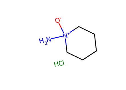 Cl.N[N+]1([O-])CCCCC1